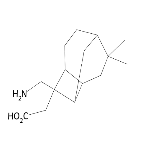 CC1(C)CC2C3CCC1CC2C3(CN)CC(=O)O